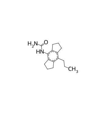 CCCc1c2c(c(NC(N)=O)c3c1CCC3)CCC2